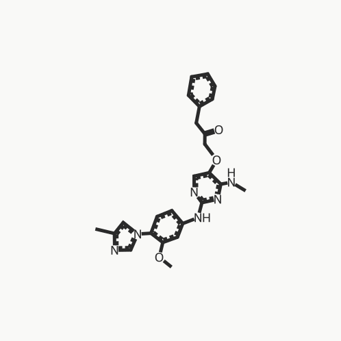 CNc1nc(Nc2ccc(-n3cnc(C)c3)c(OC)c2)ncc1OCC(=O)Cc1ccccc1